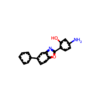 Nc1ccc(-c2nc3cc(-c4ccccc4)ccc3o2)c(O)c1